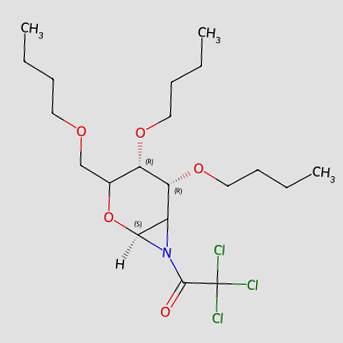 CCCCOCC1O[C@H]2C([C@@H](OCCCC)[C@H]1OCCCC)N2C(=O)C(Cl)(Cl)Cl